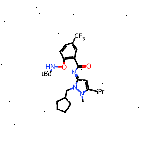 CC(C)c1c/c(=N\C(=O)c2cc(C(F)(F)F)ccc2ONC(C)(C)C)n(CC2CCCC2)n1C